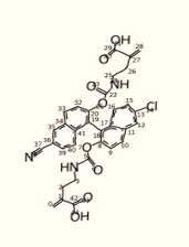 C=C(CCNC(=O)Oc1ccc2cc(Cl)ccc2c1-c1c(OC(=O)NCCC(=C)C(=O)O)ccc2cc(C#N)ccc12)C(=O)O